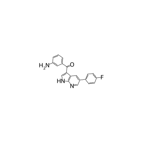 Nc1cccc(C(=O)c2c[nH]c3ncc(-c4ccc(F)cc4)cc23)c1